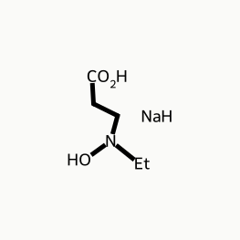 CCN(O)CCC(=O)O.[NaH]